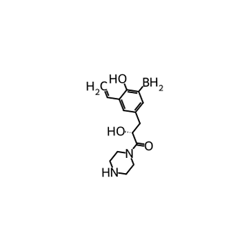 Bc1cc(C[C@@H](O)C(=O)N2CCNCC2)cc(C=C)c1O